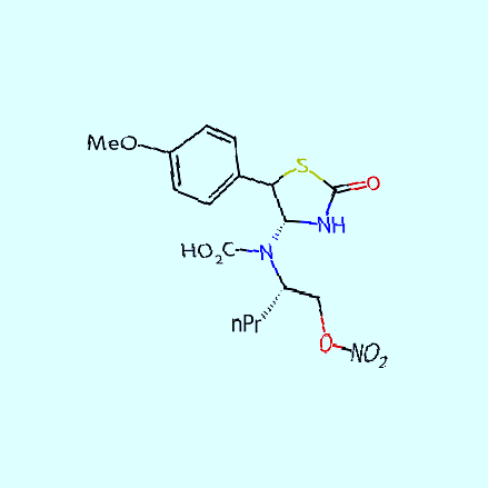 CCC[C@@H](CO[N+](=O)[O-])N(C(=O)O)[C@H]1NC(=O)SC1c1ccc(OC)cc1